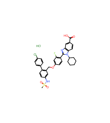 CS(=O)(=O)Nc1ccc(-c2ccc(Cl)cc2)c(COc2ccc(-c3nc4cc(C(=O)O)ccc4n3C3CCCCC3)c(F)c2)c1.Cl